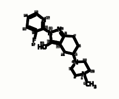 CN1CCN(C2CCc3nn(-c4ncccc4F)c(O)c3C2)CC1